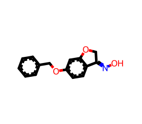 ON=C1COc2cc(OCc3ccccc3)ccc21